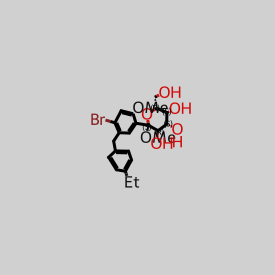 CCc1ccc(Cc2cc([C@]3(OC)O[C@H](CO)[C@@H](O)[C@H](O)[C@H]3O)c(OC)cc2Br)cc1